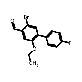 CCOc1cc(C=O)c(Br)cc1-c1ccc(F)cc1